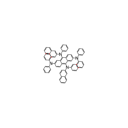 c1ccc(N(c2ccccc2)c2ccc3c(N(c4ccccc4)c4ccc5ccccc5c4)c4cc(N(c5ccccc5)c5ccccc5)ccc4c(N(c4ccccc4)c4ccc5ccccc5c4)c3c2)cc1